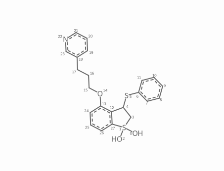 OS1(O)CC(Sc2ccccc2)c2c(OCCCc3cccnc3)cccc21